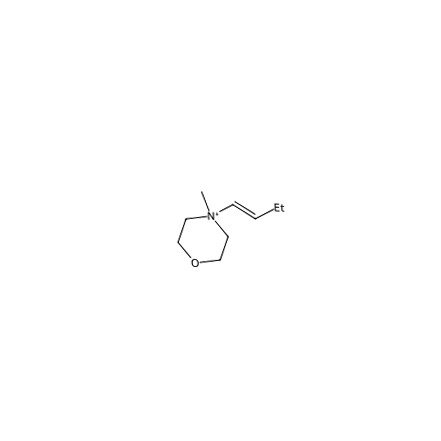 CCC=C[N+]1(C)CCOCC1